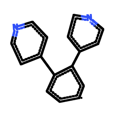 [c]1ccc(-c2ccncc2)c(-c2ccncc2)c1